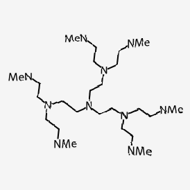 CNCCN(CCNC)CCN(CCN(CCNC)CCNC)CCN(CCNC)CCNC